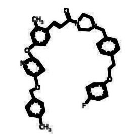 Cc1ccc(COc2ccc(Oc3ccc(C=CC(=O)N4CCN(Cc5ccc(CCOc6ccc(F)cc6)cc5)CC4)c(C)c3)nc2)cc1